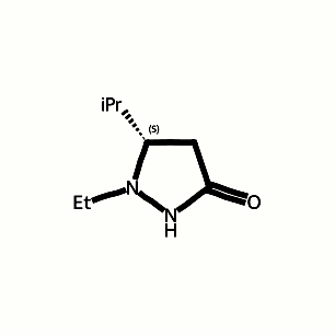 CCN1NC(=O)C[C@H]1C(C)C